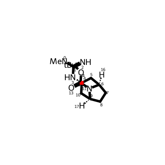 CNC(=N)N[C@@H]1C[C@H]2CC[C@@H](C1)N2C(=O)OC(C)(C)C